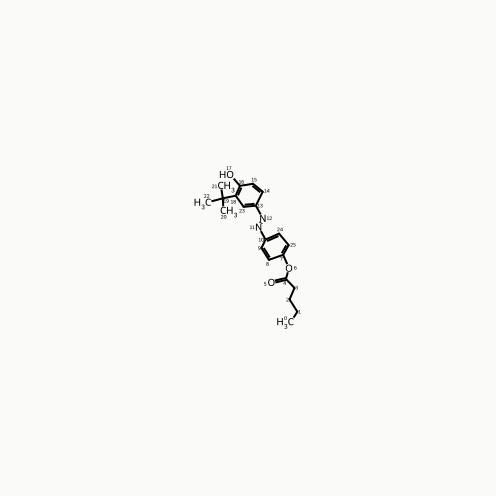 CCCCC(=O)Oc1ccc(N=Nc2ccc(O)c(C(C)(C)C)c2)cc1